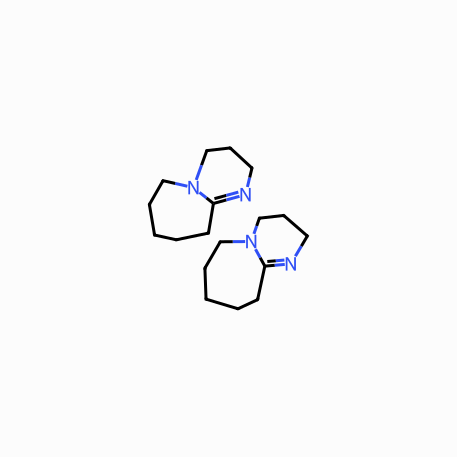 C1CCC2=NCCCN2CC1.C1CCC2=NCCCN2CC1